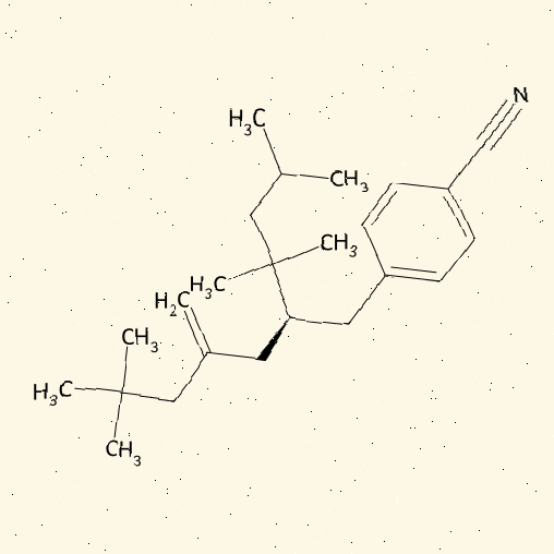 C=C(C[C@H](Cc1ccc(C#N)cc1)C(C)(C)CC(C)C)CC(C)(C)C